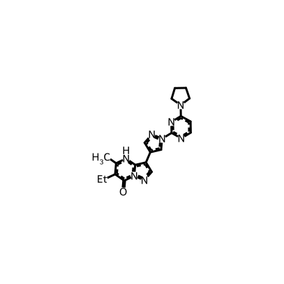 CCc1c(C)[nH]c2c(-c3cnn(-c4nccc(N5CCCC5)n4)c3)cnn2c1=O